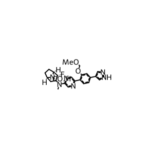 COCOc1cc(-c2cn[nH]c2)ccc1-c1cnc(N(C)C2C[C@H]3CC[C@@H]([C@@H]2F)N3C(=O)O)cn1